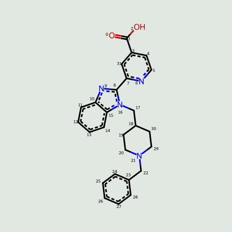 O=C(O)c1ccnc(-c2nc3ccccc3n2CC2CCN(Cc3ccccc3)CC2)c1